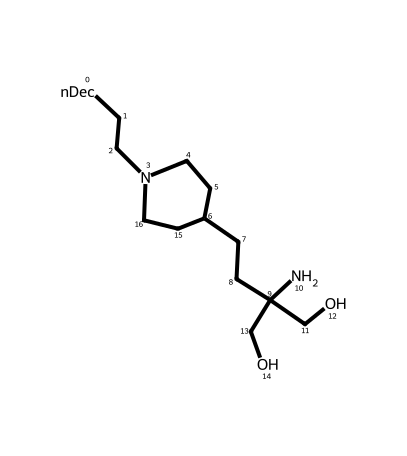 CCCCCCCCCCCCN1CCC(CCC(N)(CO)CO)CC1